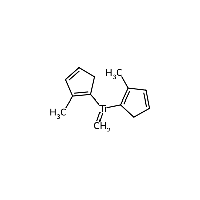 [CH2]=[Ti]([C]1=C(C)C=CC1)[C]1=C(C)C=CC1